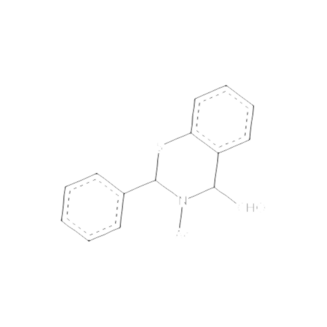 CC(=O)N1C(C=O)c2ccccc2SC1c1ccccc1